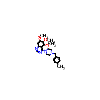 COc1cc2ncnc(N3CCN(Cc4ccc(C)cc4)CC3)c2c(OC)c1OC